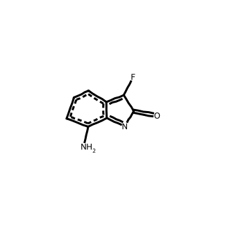 Nc1cccc2c1=NC(=O)C=2F